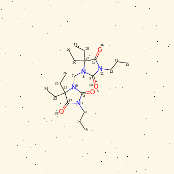 CCCN1C(=O)N(CN2C(=O)N(CCC)C(=O)C2(CC)CC)C(CC)(CC)C1=O